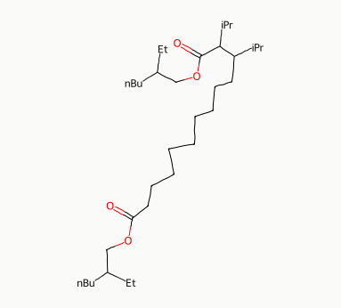 CCCCC(CC)COC(=O)CCCCCCCCCC(C(C)C)C(C(=O)OCC(CC)CCCC)C(C)C